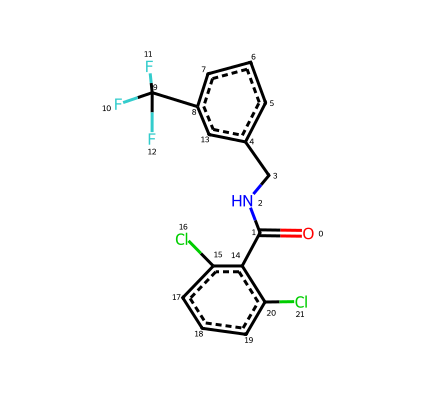 O=C(NCc1cccc(C(F)(F)F)c1)c1c(Cl)cccc1Cl